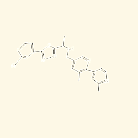 Cc1cc(-c2ncc(CNC(C)c3nnc(-c4cccc(Cl)c4)s3)cc2C)ccn1